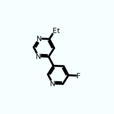 CCc1cc(-c2cncc(F)c2)ncn1